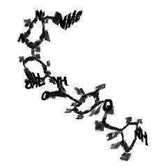 CNc1cc(C(/C=C(\C=O)NC(=O)c2ccc(OCC3CCNCC3)cc2)=C/N)ncn1